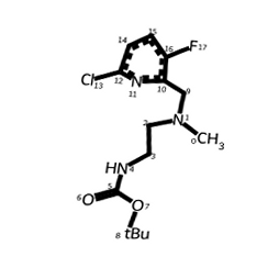 CN(CCNC(=O)OC(C)(C)C)Cc1nc(Cl)ccc1F